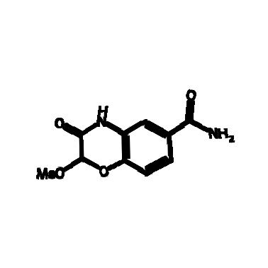 COC1Oc2ccc(C(N)=O)cc2NC1=O